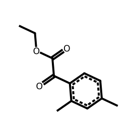 CCOC(=O)C(=O)c1ccc(C)cc1C